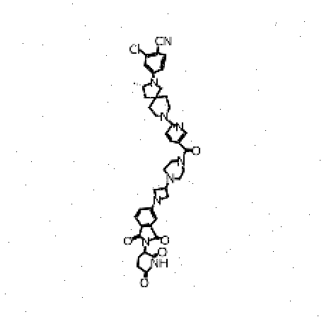 C[C@H]1CC2(CCN(c3ccc(C(=O)N4CCN(C5CN(c6ccc7c(c6)C(=O)N(C6CCC(=O)NC6=O)C7=O)C5)CC4)cn3)CC2)CN1c1ccc(C#N)c(Cl)c1